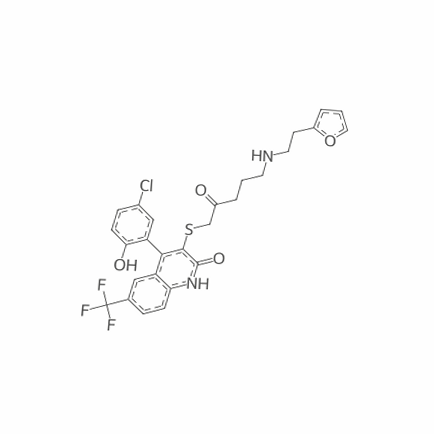 O=C(CCCNCCc1ccco1)CSc1c(-c2cc(Cl)ccc2O)c2cc(C(F)(F)F)ccc2[nH]c1=O